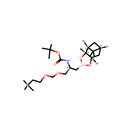 CC(C)(C)OC(=O)N[C@H](COCOCC[Si](C)(C)C)CB1O[C@H]2C[C@H]3C[C@H](C3(C)C)[C@@]2(C)O1